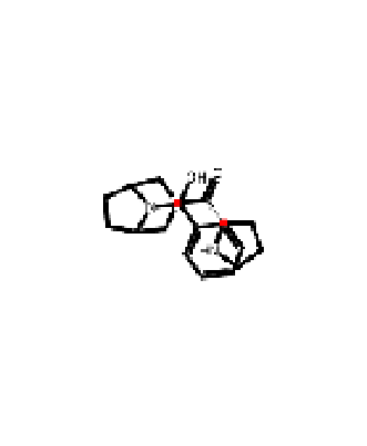 O=C([C@@H]1CCCN1)N1CC2CCC(C1)N2C(O)c1ccccc1